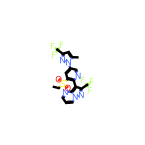 CCS(=O)(=O)c1cc(-n2nc(C(F)(F)F)cc2C)cnc1-c1c(C(F)(F)F)nn2cccnc12